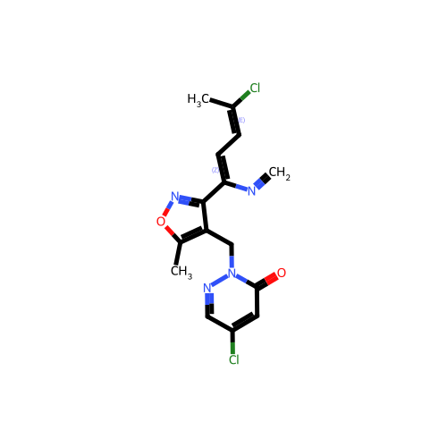 C=N/C(=C\C=C(/C)Cl)c1noc(C)c1Cn1ncc(Cl)cc1=O